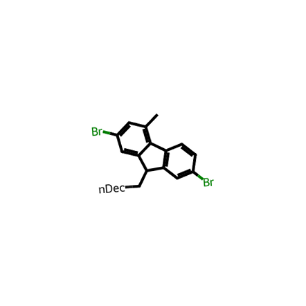 CCCCCCCCCCCC1c2cc(Br)ccc2-c2c(C)cc(Br)cc21